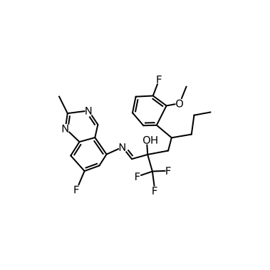 CCCC(CC(O)(C=Nc1cc(F)cc2nc(C)ncc12)C(F)(F)F)c1cccc(F)c1OC